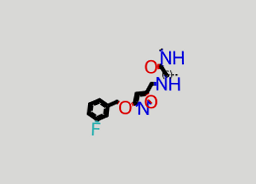 CNC(=O)[C@H](C)NCc1cc(OCc2cccc(F)c2)no1